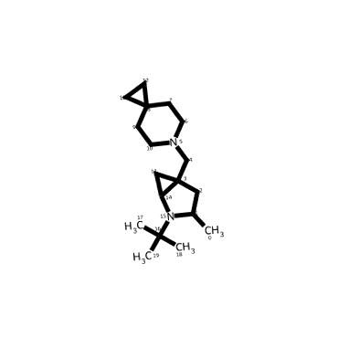 CC1CC2(CN3CCC4(CC3)CC4)CC2N1C(C)(C)C